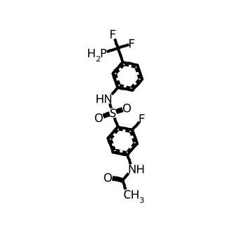 CC(=O)Nc1ccc(S(=O)(=O)Nc2cccc(C(F)(F)P)c2)c(F)c1